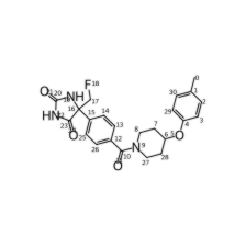 Cc1ccc(OC2CCN(C(=O)c3ccc(C4(CF)NC(=O)NC4=O)cc3)CC2)cc1